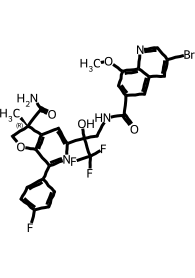 COc1cc(C(=O)NCC(O)(c2cc3c(c(-c4ccc(F)cc4)n2)OC[C@]3(C)C(N)=O)C(F)(F)F)cc2cc(Br)cnc12